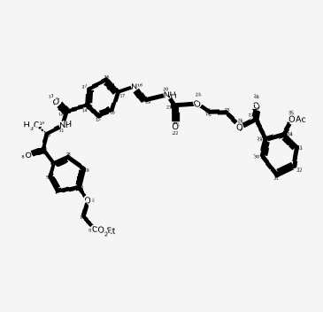 CCOC(=O)COc1ccc(C(=O)[C@H](C)NC(=O)c2ccc(N=CNC(=O)OCCOC(=O)c3ccccc3OC(C)=O)cc2)cc1